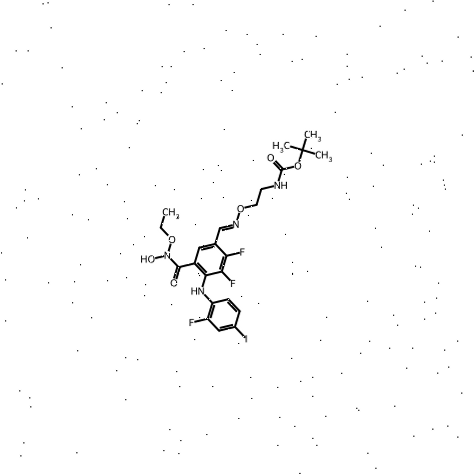 CCON(O)C(=O)c1cc(C=NOCCNC(=O)OC(C)(C)C)c(F)c(F)c1Nc1ccc(I)cc1F